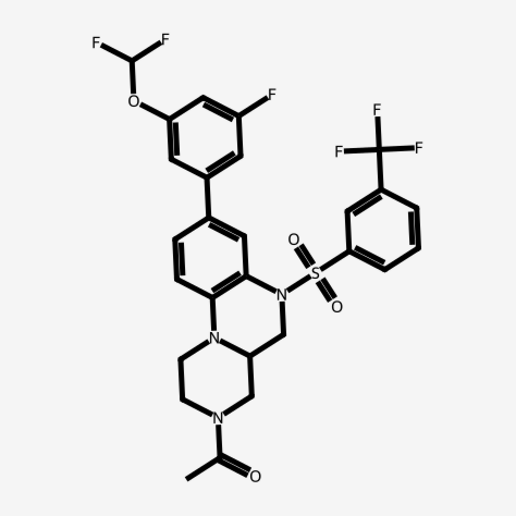 CC(=O)N1CCN2c3ccc(-c4cc(F)cc(OC(F)F)c4)cc3N(S(=O)(=O)c3cccc(C(F)(F)F)c3)CC2C1